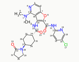 CN(C)c1nccc2oc(C(=O)Nc3ccc(Cl)cn3)c(NC(=O)[C@H]3CC[C@H](N4CCCC4=O)CC3)c12